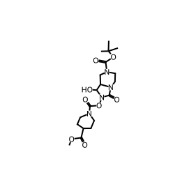 COC(=O)C1CCN(C(=O)ON2C(=O)N3CCN(C(=O)OC(C)(C)C)CC3C2O)CC1